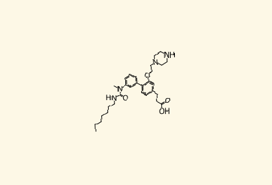 CCCCCCCNC(=O)N(C)c1cccc(-c2ccc(CCC(=O)O)cc2OCCN2CCNCC2)c1